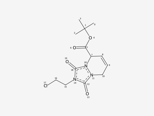 CC(C)(C)OC(=O)C1C=CCn2c(=O)n(CCCl)c(=O)n21